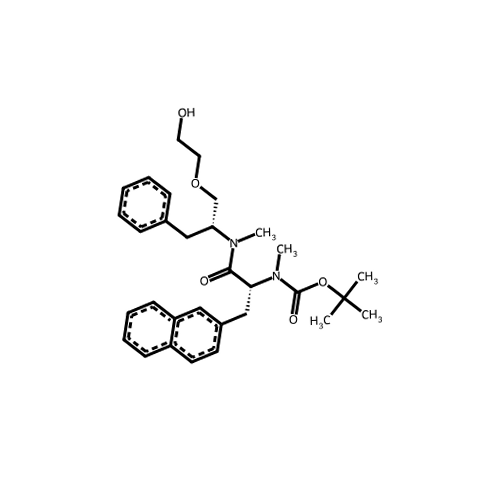 CN(C(=O)[C@@H](Cc1ccc2ccccc2c1)N(C)C(=O)OC(C)(C)C)[C@@H](COCCO)Cc1ccccc1